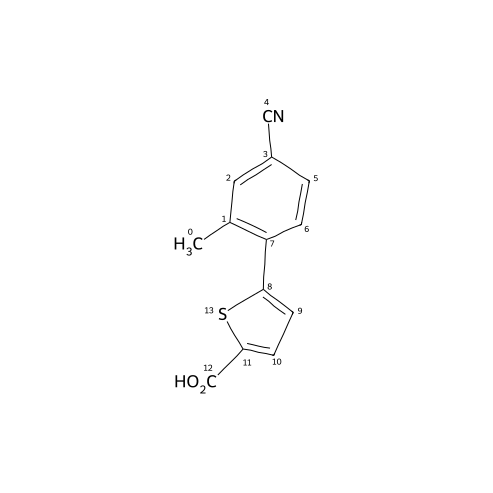 Cc1cc(C#N)ccc1-c1ccc(C(=O)O)s1